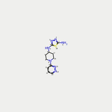 Nc1nnc(NC2CCN(c3cccnn3)CC2)s1